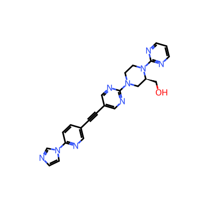 OC[C@H]1CN(c2ncc(C#Cc3ccc(-n4ccnc4)nc3)cn2)CCN1c1ncccn1